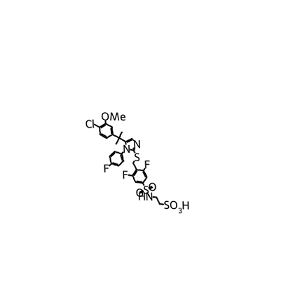 COc1cc(C(C)(C)c2cnc(SCc3c(F)cc(S(=O)(=O)NCCS(=O)(=O)O)cc3F)n2-c2ccc(F)cc2)ccc1Cl